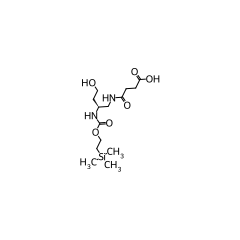 C[Si](C)(C)CCOC(=O)N[C@@H](CCO)CNC(=O)CCC(=O)O